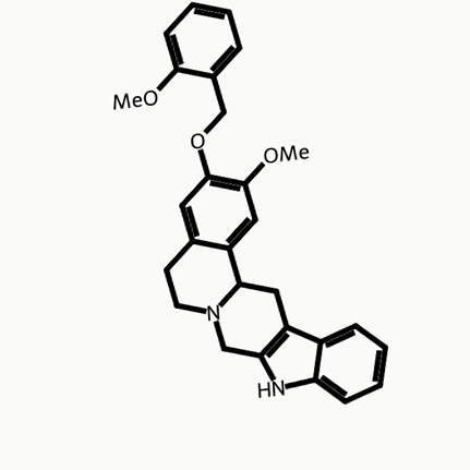 COc1ccccc1COc1cc2c(cc1OC)C1Cc3c([nH]c4ccccc34)CN1CC2